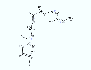 CC(/C=C\CN(F)/C(C)=C/N/C=C(\C)c1ccc(C)cc1)=C/N